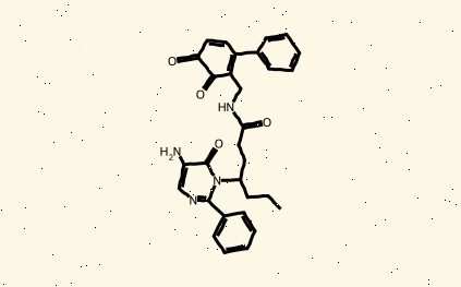 CCCC(CCC(=O)NCC1=C(c2ccccc2)C=CC(=O)C1=O)n1c(-c2ccccc2)ncc(N)c1=O